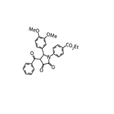 CCOC(=O)c1ccc(N2C(=O)C(=O)C(C(=O)c3ccccc3)C2c2ccc(OC)c(OC)c2)cc1